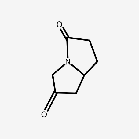 O=C1CC2CCC(=O)N2C1